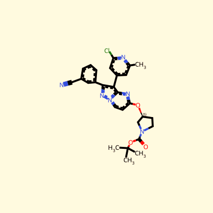 Cc1cc(-c2c(-c3cccc(C#N)c3)nn3ccc(O[C@H]4CCN(C(=O)OC(C)(C)C)C4)nc23)cc(Cl)n1